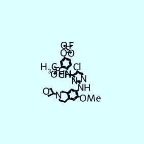 COc1cc2c(cc1Nc1ncc(Cl)c(Nc3ccc(OS(=O)(=O)F)cc3P(C)(C)=O)n1)CN(C1COC1)CC2